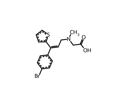 CN(C/C=C(/c1ccc(Br)cc1)c1cccs1)CC(=O)O